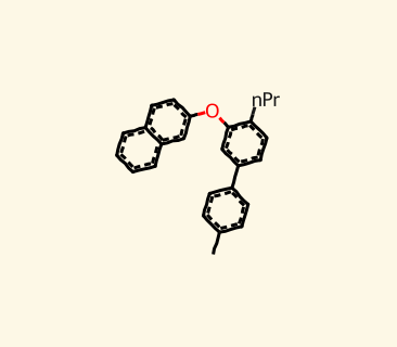 CCCc1ccc(-c2ccc(C)cc2)cc1Oc1ccc2ccccc2c1